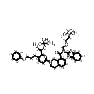 CC(C)(C)OC(=O)c1nc(N2CCc3cccc(C(=O)N(COCC[Si](C)(C)C)c4nc5ccccc5s4)c3C2)ccc1CCCOc1ccccc1